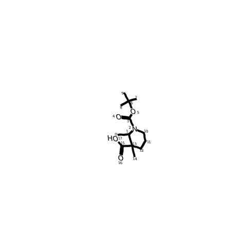 CC1N(C(=O)OC(C)(C)C)CCCC1(C)C(=O)O